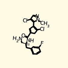 Cn1ncc(Cl)c1C1=C(Cl)CC(C(=O)N[C@H](CN)Cc2cccc(F)c2)=C1